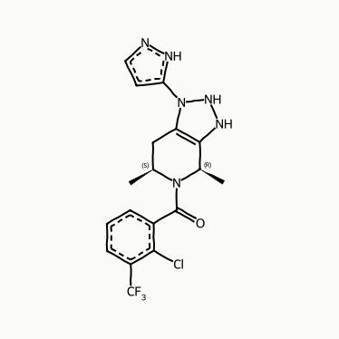 C[C@@H]1C2=C(C[C@H](C)N1C(=O)c1cccc(C(F)(F)F)c1Cl)N(c1ccn[nH]1)NN2